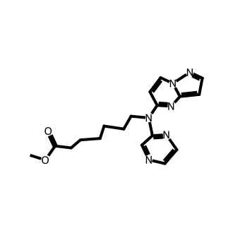 COC(=O)CCCCCCN(c1cnccn1)c1ccn2nccc2n1